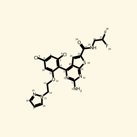 Nc1nc(-c2c(Cl)cc(Cl)cc2OCCn2cccn2)c2cc(C(=O)NCC(F)F)sc2n1